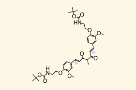 COc1cc(/C=C/C(=O)C(C)C(=O)/C=C/c2ccc(OCCNC(=O)OC(C)(C)C)c(OC)c2)ccc1OCCNC(=O)OC(C)(C)C